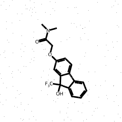 CN(C)C(=O)COc1ccc2c(c1)C(O)(C(F)(F)F)c1ccccc1-2